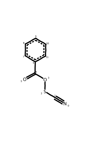 N#CSOC(=O)c1ccccc1